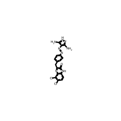 Nc1n[nH]c(N)c1/N=N/c1ccc(Cc2nc3c(Cl)c(Cl)ccc3[nH]c2=O)cc1